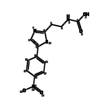 O=C(O)NCCc1ncc(-c2ccc([N+](=O)[O-])cc2)s1